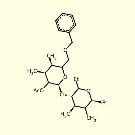 CCC1O[C@@H](C(C)C)C(C)[C@@H](C)[C@@H]1O[C@@H]1OC(COCc2ccccc2)[C@H](C)[C@H](C)C1OC(C)=O